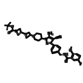 COc1ccc(F)cc1C(=O)NCc1ccc(-c2nn(C3CCN(C4CN(C5CN(C(=O)OC(C)(C)C)C5)C4)CC3)c(N)c2C#N)cc1